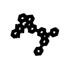 c1ccc(-c2ccc3c(c2)c2cc(-c4ccc5c(c4)c4ccccc4n5-c4nc5ncccc5nc4-c4ccccc4)ccc2n3-c2ccccc2)cc1